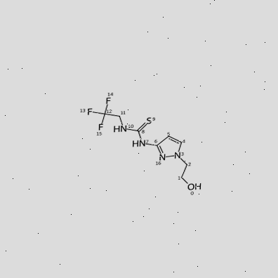 OCCn1ccc(NC(=S)NCC(F)(F)F)n1